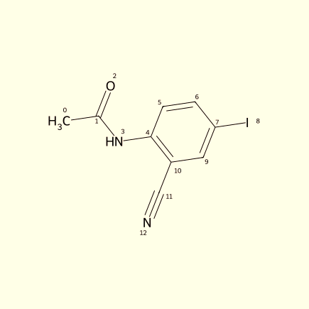 CC(=O)Nc1ccc(I)cc1C#N